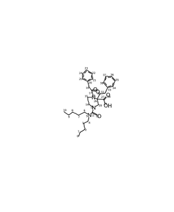 CCCCCN(CCCCC)C(=O)N1CCN(C(=O)Cc2ccccc2)C(C(=O)O)(C(=O)Cc2ccccc2)C1